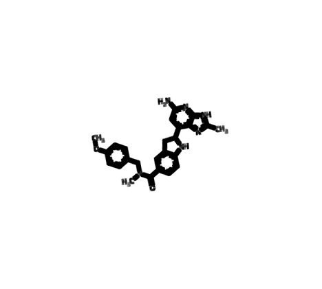 COc1ccc(CN(C)C(=O)c2ccc3c(c2)CC(c2cc(N)nc4[nH]c(C)nc24)N3)cc1